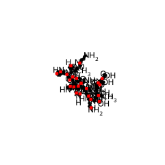 CC[C@H](C)[C@H](NC(=O)[C@H](CC(=O)O)NC(=O)[C@H](CCCCN)NC(=O)CNC(=O)[C@H](CC(N)=O)NC(=O)[C@H](CCC(N)=O)NC(=O)[C@H](Cc1c[nH]cn1)NC(=O)[C@H](Cc1c[nH]cn1)NC(=O)[C@H](Cc1ccccc1)NC(=O)[C@H](Cc1c[nH]c2ccccc12)NC(=O)[C@@H]1CCCN1C(=O)[C@H](C)NC(=O)[C@@H](N)CCCCN)C(=O)N[C@@H](C)C(=O)N[C@@H](C)C(=O)N[C@@H](CCC(=O)O)C(=O)O